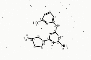 Cc1cccc(Nc2cc(N3CC[C@@H](N)C3)nc(N)n2)c1